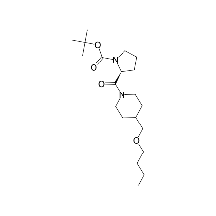 CCCCOCC1CCN(C(=O)[C@@H]2CCCN2C(=O)OC(C)(C)C)CC1